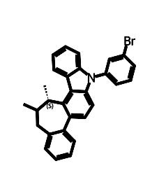 CC1Cc2ccccc2-c2ccc3c(c2[C@H]1C)c1ccccc1n3-c1cccc(Br)c1